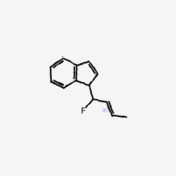 C/C=C/C(F)C1C=Cc2[c]cccc21